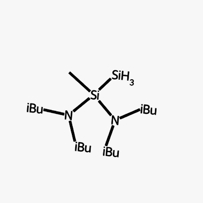 CCC(C)N(C(C)CC)[Si](C)([SiH3])N(C(C)CC)C(C)CC